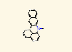 CN1c2cc3ccccc3cc2-c2cccc3cccc1c23